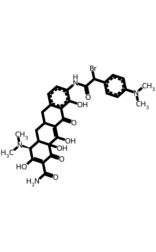 CN(C)c1ccc(C(Br)C(=O)Nc2ccc3c(c2O)C(=O)C2=C(O)C4(O)C(=O)C(C(N)=O)=C(O)[C@@H](N(C)C)C4CC2C3)cc1